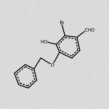 O=Cc1ccc(OCc2ccccc2)c(O)c1Br